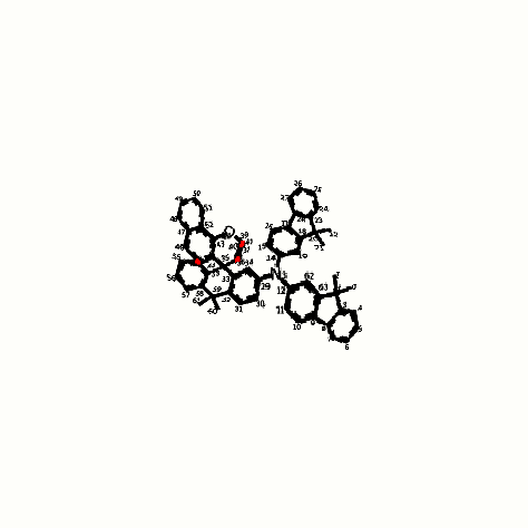 CC1(C)c2ccccc2-c2ccc(N(c3ccc4c(c3)C(C)(C)c3ccccc3-4)c3ccc4c(c3)C3(c5ccccc5Oc5c3ccc3ccccc53)c3ccccc3C4(C)C)cc21